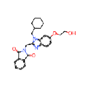 O=C1c2ccccc2C(=O)N1Cc1nc2ccc(OCCO)cc2n1CC1CCCCC1